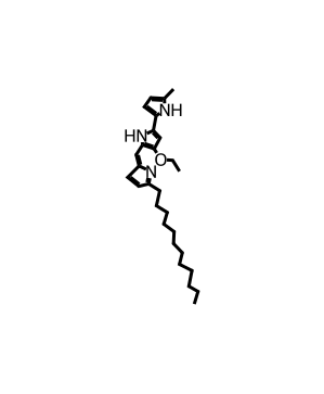 CCCCCCCCCCCCC1=NC(=Cc2[nH]c(-c3ccc(C)[nH]3)cc2OCC)C=C1